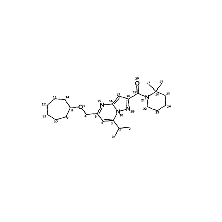 CC(C)c1cc(COC2CCCCCC2)nc2cc(C(=O)N3CCCCC3(C)C)nn12